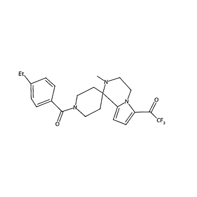 CCc1ccc(C(=O)N2CCC3(CC2)c2ccc(C(=O)C(F)(F)F)n2CCN3C)cc1